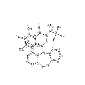 C[C@@H](N1CN([C@@H]2c3ccccc3SCc3cccc(N(C)C)c32)n2cc(Cl)c(=O)c(O)c2C1=O)C(F)(F)F